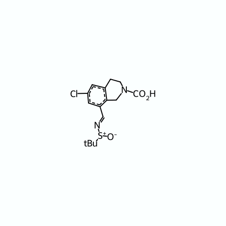 CC(C)(C)[S+]([O-])N=Cc1cc(Cl)cc2c1CN(C(=O)O)CC2